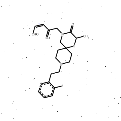 CC1OC2(CCN(CCc3ncccc3F)CC2)CN(CC(=N)/C=C\C=O)C1=O